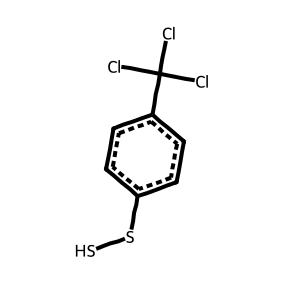 SSc1ccc(C(Cl)(Cl)Cl)cc1